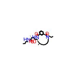 CCCCNC(=O)[C@H](C)C[C@H](O)[C@@H]1C[C@H](C)CCCCCCN(CCC)C(=O)c2cccc(c2)C(=O)N1